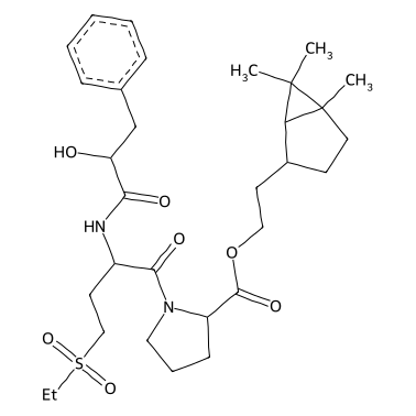 CCS(=O)(=O)CCC(NC(=O)C(O)Cc1ccccc1)C(=O)N1CCCC1C(=O)OCCC1CCC2(C)C1C2(C)C